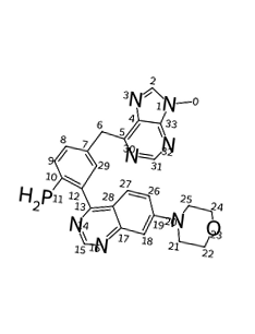 Cn1cnc2c(Cc3ccc(P)c(-c4ncnc5cc(N6CCOCC6)ccc45)c3)ncnc21